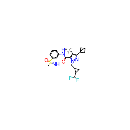 CS(=N)(=O)c1cccc(NC(=O)c2c(C(F)(F)F)c(C34CC(C3)C4)nn2CC2CC2C(F)F)c1